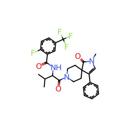 CC(C)C(NC(=O)c1cc(C(F)(F)F)ccc1F)C(=O)N1CCC2(CC1)C(=O)N(C)C=C2c1ccccc1